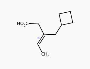 C/C=C(/CC(=O)O)CC1CCC1